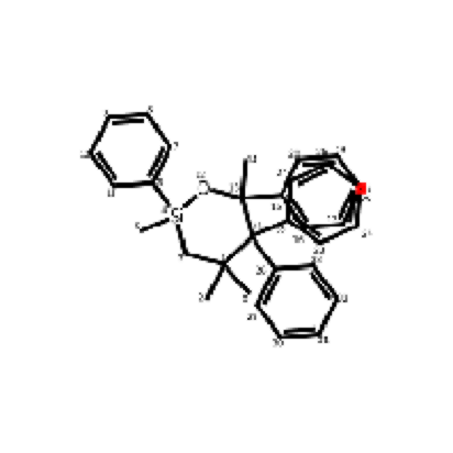 CC1(C)C[Si](C)(c2ccccc2)OC(C)(c2ccccc2)C1(c1ccccc1)c1ccccc1